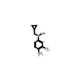 CCCN(CC1CC1)c1ccc([N+](=O)[O-])c(C(F)(F)F)c1